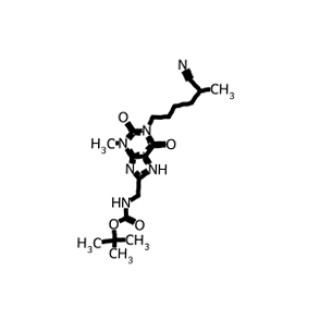 CC(C#N)CCCCn1c(=O)c2[nH]c(CNC(=O)OC(C)(C)C)nc2n(C)c1=O